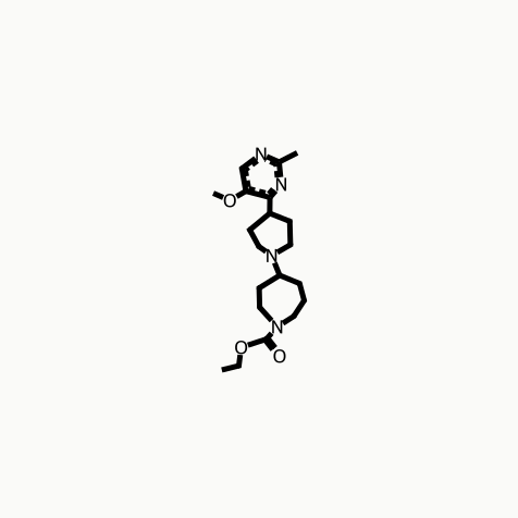 CCOC(=O)N1CCCC(N2CCC(c3nc(C)ncc3OC)CC2)CC1